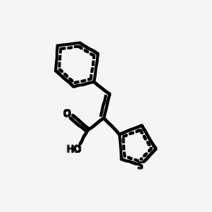 O=C(O)C(=Cc1ccccc1)c1ccsc1